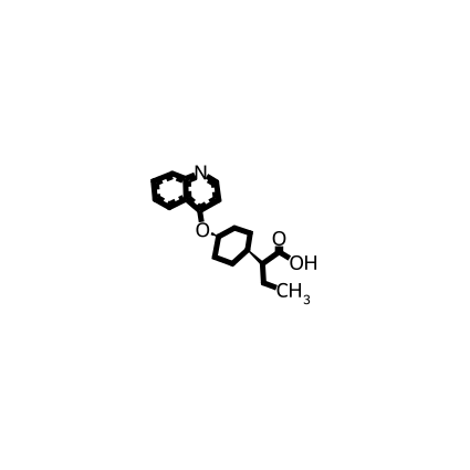 CCC(C(=O)O)[C@H]1CC[C@H](Oc2ccnc3ccccc23)CC1